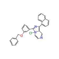 Cl[N+]12C=CN=CC1=C(c1cccc3ccccc13)N=C2c1cccc(OCc2ccccc2)c1